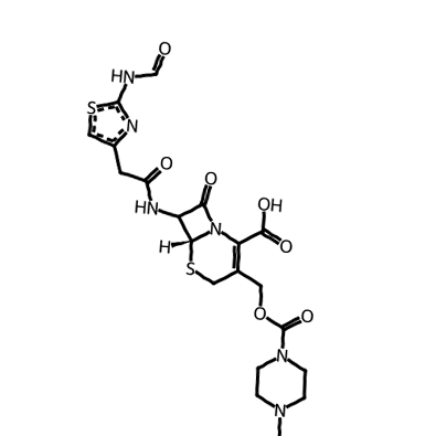 CN1CCN(C(=O)OCC2=C(C(=O)O)N3C(=O)C(NC(=O)Cc4csc(NC=O)n4)[C@H]3SC2)CC1